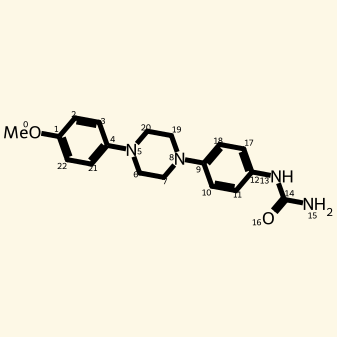 COc1ccc(N2CCN(c3ccc(NC(N)=O)cc3)CC2)cc1